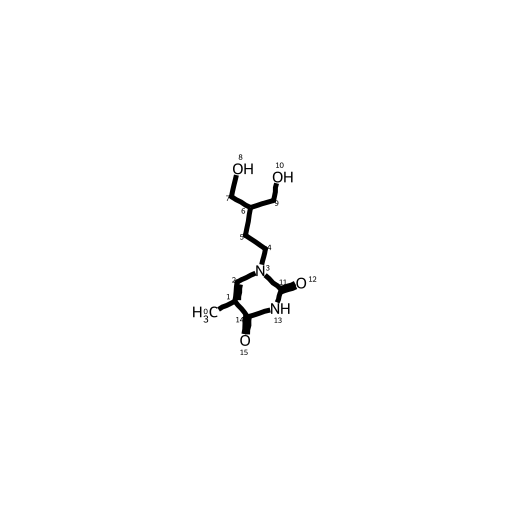 Cc1cn(CCC(CO)CO)c(=O)[nH]c1=O